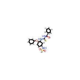 CS(=O)(=O)Nc1ccc(Oc2ccccc2)c(NC(=S)NC(=O)c2ccccc2)c1